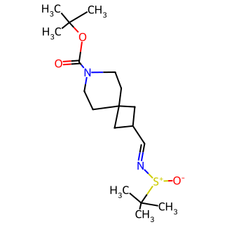 CC(C)(C)OC(=O)N1CCC2(CC1)CC(/C=N/[S+]([O-])C(C)(C)C)C2